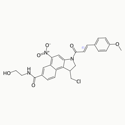 COc1ccc(/C=C/C(=O)N2CC(CCl)c3c2cc([N+](=O)[O-])c2cc(C(=O)NCCO)ccc32)cc1